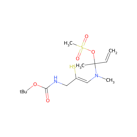 C=CC(C)(OS(C)(=O)=O)N(C)/C=C(\S)CNC(=O)OC(C)(C)C